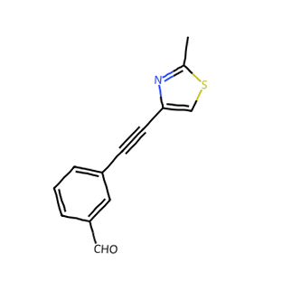 Cc1nc(C#Cc2cccc(C=O)c2)cs1